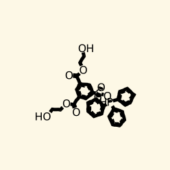 O=C(OCCO)c1cc(C(=O)OCCO)cc(S(=O)(=O)O[PH](c2ccccc2)(c2ccccc2)c2ccccc2)c1